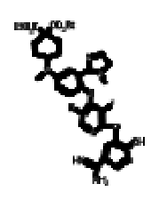 CCOC(=O)C1(C(=O)OCC)CCC(N(C)c2ccc(Oc3c(F)cnc(Oc4cc(C(=N)N)ccc4O)c3F)c(C3N=CCN3C)c2)CC1